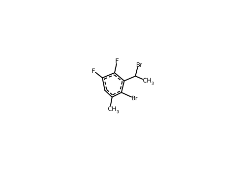 Cc1cc(F)c(F)c(C(C)Br)c1Br